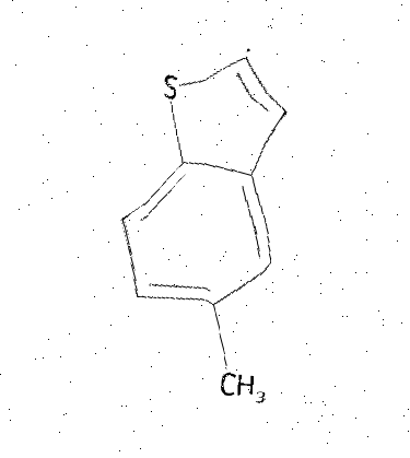 Cc1ccc2s[c]cc2c1